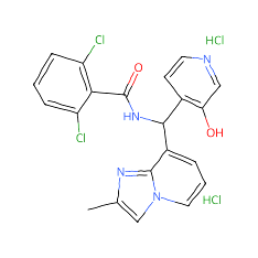 Cc1cn2cccc(C(NC(=O)c3c(Cl)cccc3Cl)c3ccncc3O)c2n1.Cl.Cl